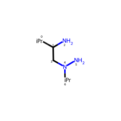 CC(C)C(N)CN(N)C(C)C